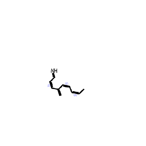 C=C(/C=C\C=N)/C=C\C=C/C